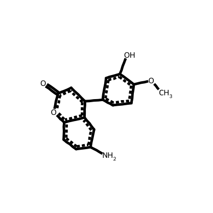 COc1ccc(-c2cc(=O)oc3ccc(N)cc23)cc1O